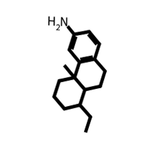 CCC1CCCC2(C)c3cc(N)ccc3CCC12